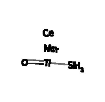 [Ce].[Mn].[O]=[Ti][SiH3]